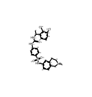 CC(NC(=O)Nc1ccc(S(=O)(=O)Nc2ccc3c(c2)CCN(C)C3)cc1)c1cccc(Cl)c1Cl